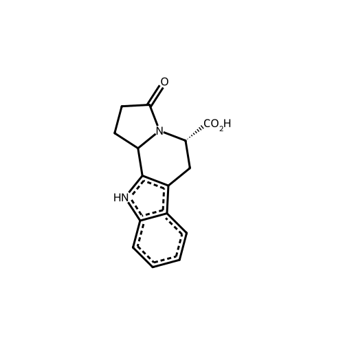 O=C(O)[C@@H]1Cc2c([nH]c3ccccc23)C2CCC(=O)N21